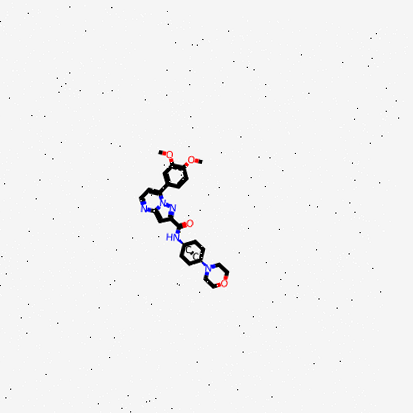 COc1ccc(-c2ccnc3cc(C(=O)N[C@]45CC[C@](N6CCOCC6)(CC4)CC5)nn23)cc1OC